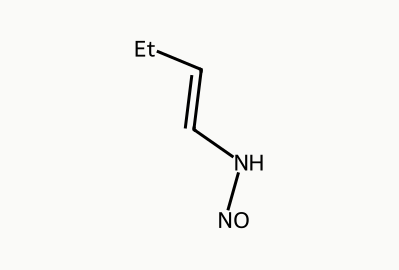 CCC=CNN=O